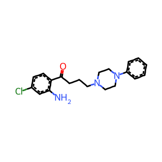 Nc1cc(Cl)ccc1C(=O)CCCN1CCN(c2ccccc2)CC1